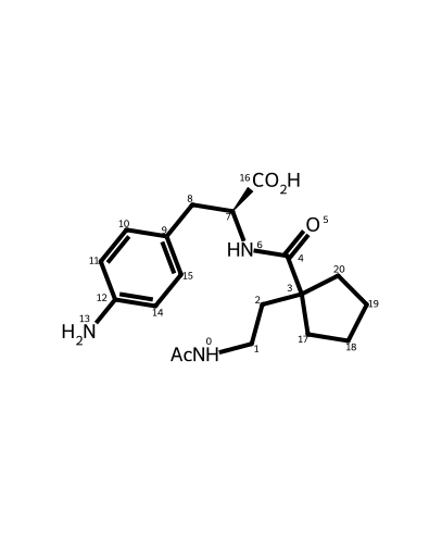 CC(=O)NCCC1(C(=O)N[C@@H](Cc2ccc(N)cc2)C(=O)O)CCCC1